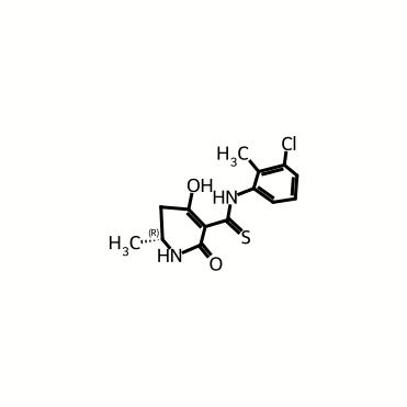 Cc1c(Cl)cccc1NC(=S)C1=C(O)C[C@@H](C)NC1=O